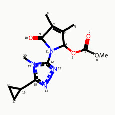 COC(=O)OC1C(C)=C(C)C(=O)N1c1nnc(C2CC2)n1C